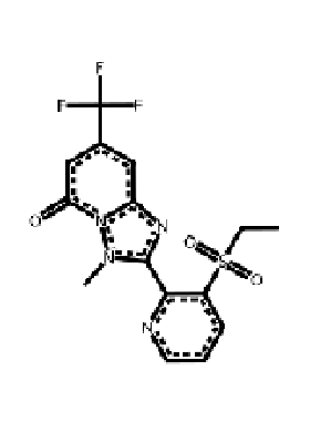 CCS(=O)(=O)c1cccnc1-c1nc2cc(C(F)(F)F)cc(=O)n2n1C